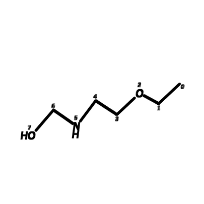 CCOCCNCO